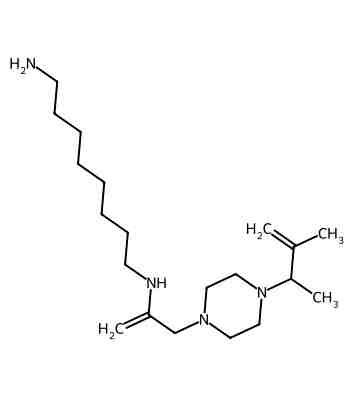 C=C(CN1CCN(C(C)C(=C)C)CC1)NCCCCCCCCN